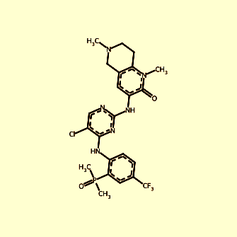 CN1CCc2c(cc(Nc3ncc(Cl)c(Nc4ccc(C(F)(F)F)cc4P(C)(C)=O)n3)c(=O)n2C)C1